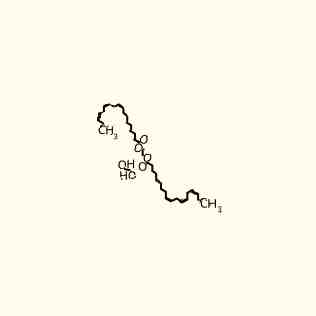 CC/C=C\C/C=C\C/C=C\CCCCCCCC(=O)OCCOC(=O)CCCCCCC/C=C\C/C=C\C/C=C\CC.OCCO